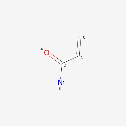 C=CC([N])=O